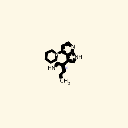 C=C/C=C(\C=N)c1c[nH]c2nccc(N3CCCCC3)c12